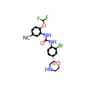 N#Cc1ccc(OC(F)F)c(NC(=O)Nc2ccc([C@H]3CNCCO3)cc2Br)c1